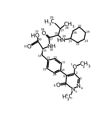 COc1cnn(C)c(=O)c1-c1ccc(C[C@H](NC(=O)C(NC2CCCCC2)C(C)C)C(=O)O)cc1